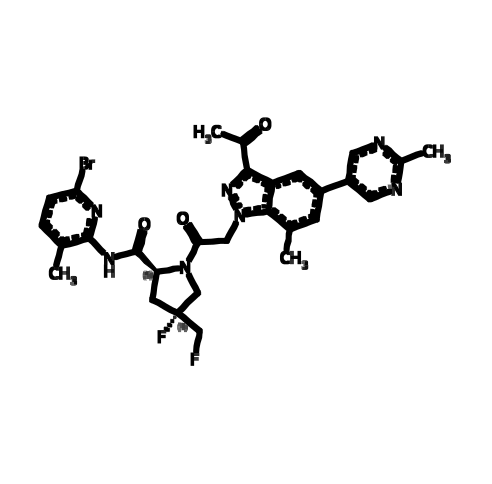 CC(=O)c1nn(CC(=O)N2C[C@@](F)(CF)C[C@H]2C(=O)Nc2nc(Br)ccc2C)c2c(C)cc(-c3cnc(C)nc3)cc12